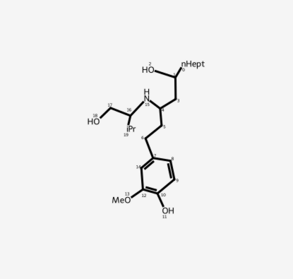 CCCCCCCC(O)CC(CCc1ccc(O)c(OC)c1)NC(CO)C(C)C